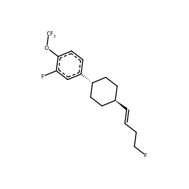 FCCC=C[C@H]1CC[C@H](c2ccc(OC(F)(F)F)c(F)c2)CC1